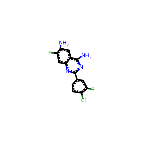 Nc1cc2c(N)nc(-c3ccc(Cl)c(F)c3)nc2cc1F